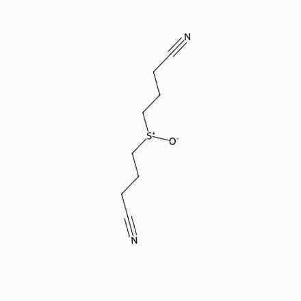 N#CCCC[S+]([O-])CCCC#N